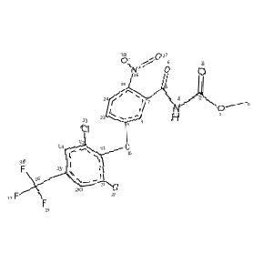 COC(=O)NC(=O)c1cc(Oc2c(Cl)cc(C(F)(F)F)cc2Cl)ccc1[N+](=O)[O-]